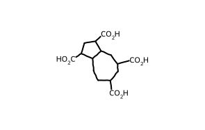 O=C(O)C1CCC2C(C(=O)O)CC(C(=O)O)C2CC(C(=O)O)C1